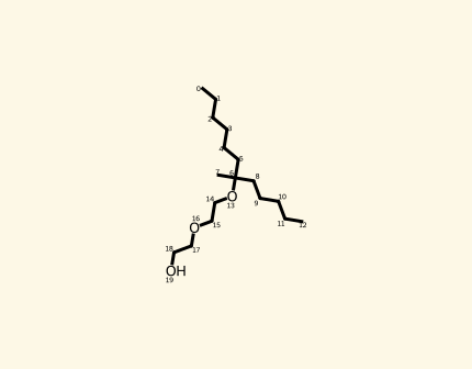 CCCCCCC(C)(CCCCC)OCCOCCO